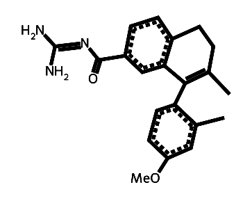 COc1ccc(C2=C(C)CCc3ccc(C(=O)N=C(N)N)cc32)c(C)c1